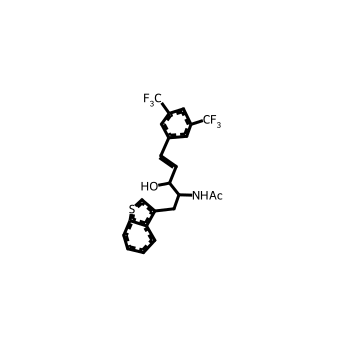 CC(=O)NC(Cc1csc2ccccc12)C(O)C=Cc1cc(C(F)(F)F)cc(C(F)(F)F)c1